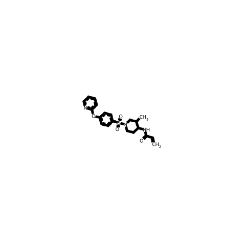 C=CC(=O)NC1CCN(S(=O)(=O)c2ccc(Oc3ccccn3)cc2)CC1C